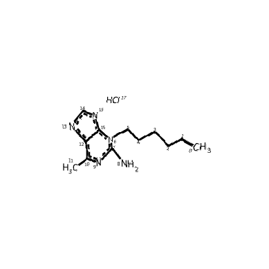 CCCCCCn1c(N)nc(C)c2ncnc1-2.Cl